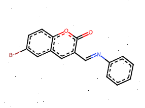 O=c1oc2ccc(Br)cc2cc1/C=N/c1ccccc1